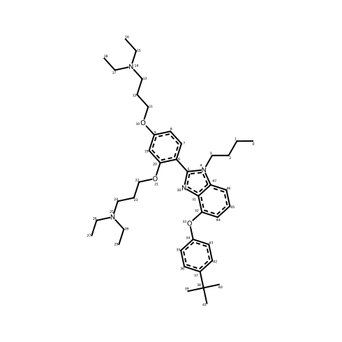 CCCCn1c(-c2ccc(OCCCN(CC)CC)cc2OCCCN(CC)CC)nc2c(Oc3ccc(C(C)(C)C)cc3)cccc21